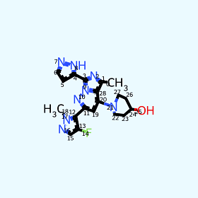 Cc1nc(-c2ccn[nH]2)n2nc(-c3c(F)cnn3C)cc(N3CCC(O)CC3)c12